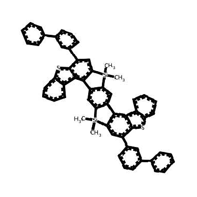 C[Si]1(C)c2cc3c(cc2-c2c1cc(-c1cccc(-c4ccccc4)c1)c1sc4ccccc4c21)[Si](C)(C)c1cc(-c2cccc(-c4ccccc4)c2)c2sc4ccccc4c2c1-3